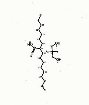 CC(C)(CO)CO.CCCCCCCCCC(CCCCCCC)C(=O)O